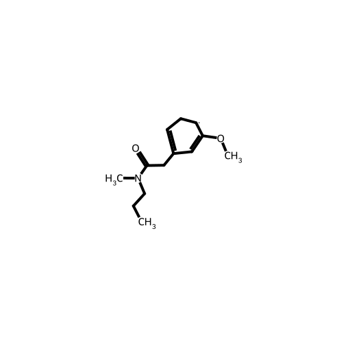 CCCN(C)C(=O)CC1=CC[CH]C(OC)=C1